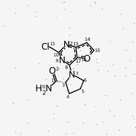 NC(=O)[C@H]1CCCN1c1nc(Cl)nc2ccoc12